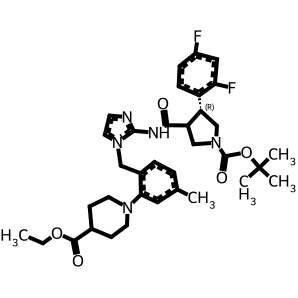 CCOC(=O)C1CCN(c2cc(C)ccc2Cn2ccnc2NC(=O)C2CN(C(=O)OC(C)(C)C)C[C@H]2c2ccc(F)cc2F)CC1